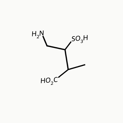 CC(C(=O)O)C(CN)S(=O)(=O)O